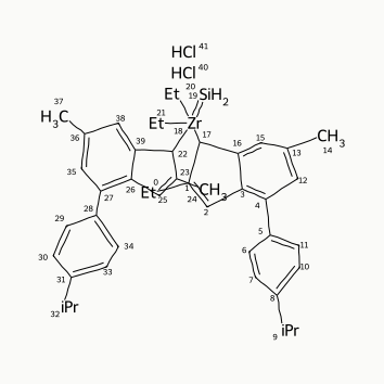 CCC1=Cc2c(-c3ccc(C(C)C)cc3)cc(C)cc2[CH]1[Zr](=[SiH2])([CH2]C)([CH2]C)[CH]1C(C)=Cc2c(-c3ccc(C(C)C)cc3)cc(C)cc21.Cl.Cl